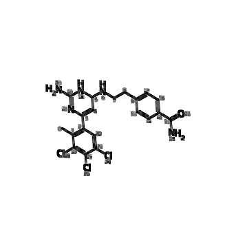 Cc1c(C2=CC(NCCc3ccc(C(N)=O)cc3)NC(N)=N2)cc(Cl)c(Cl)c1Cl